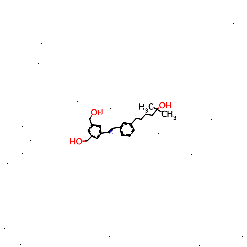 CC(C)(O)CCCCc1cccc(/C=C/c2cc(CO)cc(CO)c2)c1